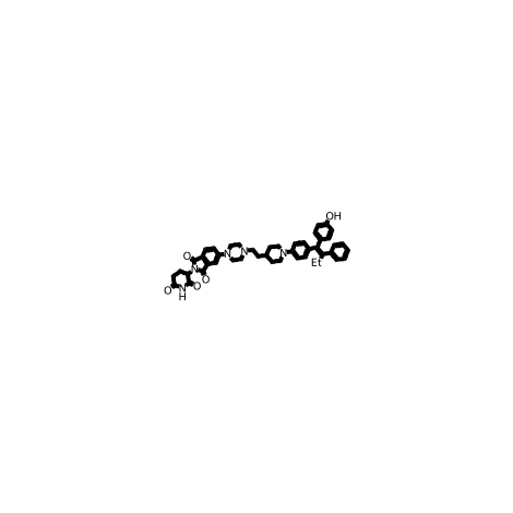 CC/C(=C(/c1ccc(O)cc1)c1ccc(N2CCC(CCN3CCN(c4ccc5c(c4)C(=O)N(C4CCC(=O)NC4=O)C5=O)CC3)CC2)cc1)c1ccccc1